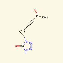 COC(=O)C#CC1CC1n1nn[nH]c1=O